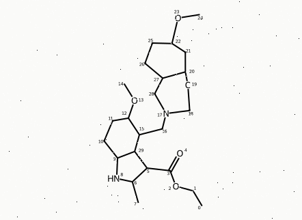 CCOC(=O)C1C(C)NC2CCC(OC)C(CN3CCC4CC(OC)CCC4C3)C21